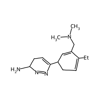 CCC1=CCC(C2=CCC(N)N=N2)C=C1CN(C)C